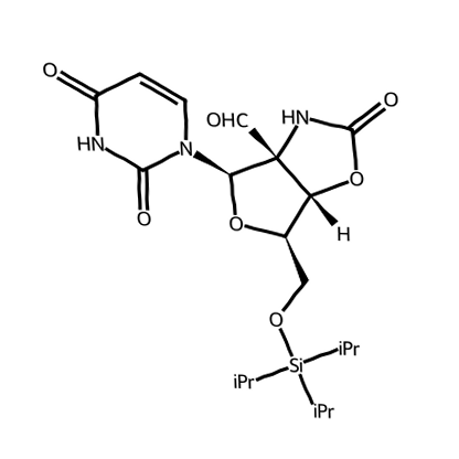 CC(C)[Si](OC[C@H]1O[C@@H](n2ccc(=O)[nH]c2=O)[C@]2(C=O)NC(=O)O[C@H]12)(C(C)C)C(C)C